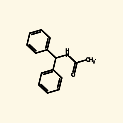 [CH2]C(=O)NC(c1ccccc1)c1ccccc1